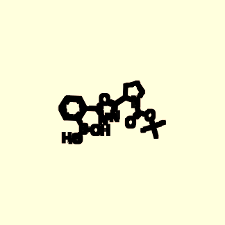 CC(C)(C)OC(=O)N1CCCC1c1nnc(-c2ccccc2B(O)O)o1